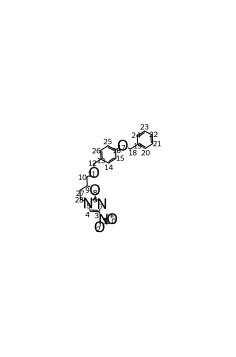 O=[N+]([O-])c1cn2c(n1)OC(COCc1ccc(OCc3ccccc3)cc1)CC2